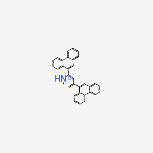 C=C(/C=C(\NC)c1cc2ccccc2c2ccccc12)c1cc2ccccc2c2ccccc12